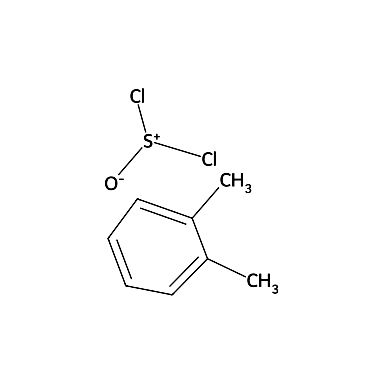 Cc1ccccc1C.[O-][S+](Cl)Cl